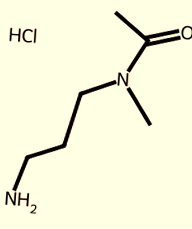 CC(=O)N(C)CCCN.Cl